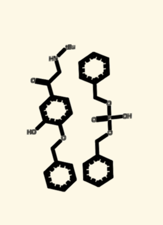 CC(C)(C)NCC(=O)c1ccc(OCc2ccccc2)c(O)c1.O=P(O)(OCc1ccccc1)OCc1ccccc1